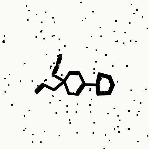 C=CCC1(N=C=S)C=CC(c2ccccc2)=CC1